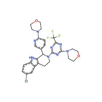 FC(F)(F)c1nc(N2CCOCC2)nc(N2CCc3c([nH]c4ccc(Cl)cc34)C2c2ccc(N3CCOCC3)nc2)n1